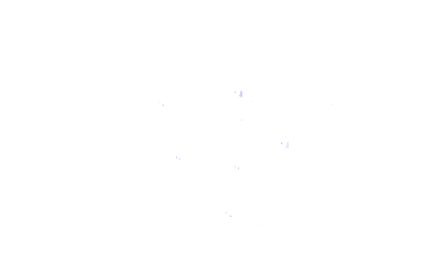 CC(C)C(Nc1nc(CN2CCN(c3ccccc3)CC2)nc2ccccc12)C(N)=O